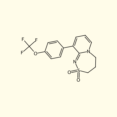 O=S1(=O)CCCN2C=CC=C(c3ccc(OC(F)(F)F)cc3)C2=N1